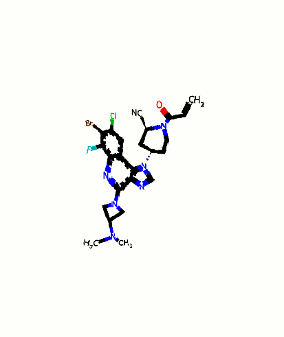 C=CC(=O)N1CC[C@H](n2cnc3c(N4CC(N(C)C)C4)nc4c(F)c(Br)c(Cl)cc4c32)C[C@H]1C#N